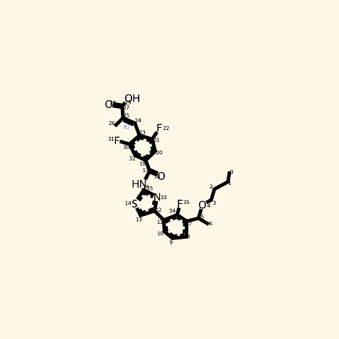 CCCCOC(C)c1cccc(-c2csc(NC(=O)c3cc(F)c(/C=C(\C)C(=O)O)c(F)c3)n2)c1F